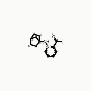 CC(=O)c1cccc[n+]1NC12CCC(CC1)C2